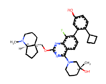 CN1CCC[C@@]2(COc3nc(N4CCC[C@@](C)(O)C4)c4ccc(-c5cc(O)ccc5C5CCC5)c(F)c4n3)CCC[C@@H]12